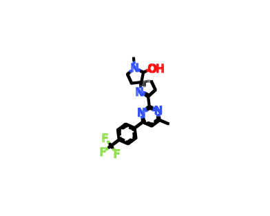 Cc1cc(-c2ccc(C(F)(F)F)cc2)nc(C2=N[C@@]3(CC2)CCN(C)C3O)n1